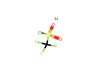 O=S(=O)(Cl)C(F)(F)F.[Li]